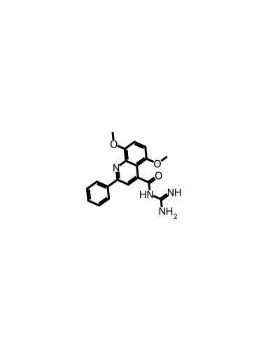 COc1ccc(OC)c2c(C(=O)NC(=N)N)cc(-c3ccccc3)nc12